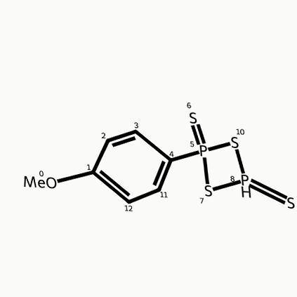 COc1ccc(P2(=S)S[PH](=S)S2)cc1